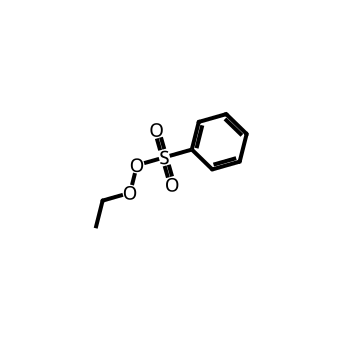 CCOOS(=O)(=O)c1ccccc1